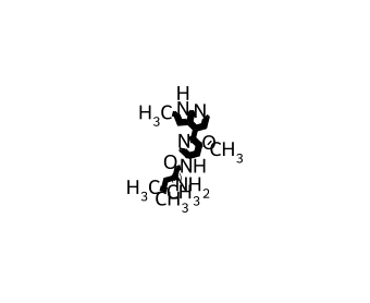 COc1cc(NC(=O)[C@H](N)CC(C)(C)C)cnc1-c1ccnc2[nH]c(C)cc12